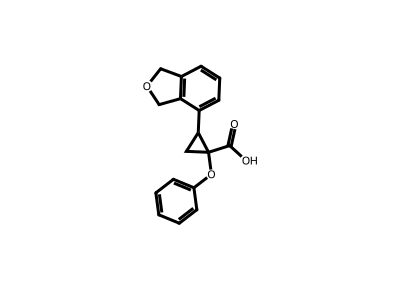 O=C(O)C1(Oc2ccccc2)CC1c1cccc2c1COC2